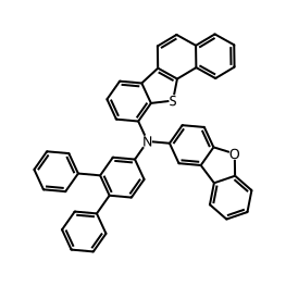 c1ccc(-c2ccc(N(c3ccc4oc5ccccc5c4c3)c3cccc4c3sc3c5ccccc5ccc43)cc2-c2ccccc2)cc1